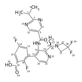 CC(C)c1ncc(C(=O)Nc2c(-c3cc(F)ccc3F)ccnc2[C@@H](C)N2CC(F)(F)C2)cn1.O=CO